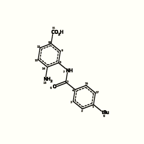 CC(C)(C)c1ccc(C(=O)Nc2cc(C(=O)O)ccc2N)cc1